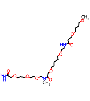 COCCCCOCCC(=O)NCCOCCCCCOCC(=O)N(C)COCCOCCCOCC(=O)NI